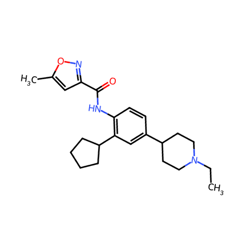 CCN1CCC(c2ccc(NC(=O)c3cc(C)on3)c(C3CCCC3)c2)CC1